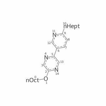 CCCCCCCCOc1cnc(-c2ccc(CCCCCCC)nc2)cn1